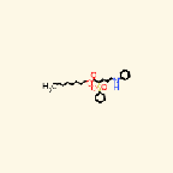 CCCCCCCCOC(=O)C(=CC=CNc1ccccc1)S(=O)(=O)c1ccccc1